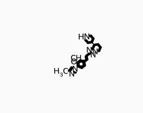 COc1cc(/C=C/c2nc3n(n2)CCC[C@@H]3C2CCNCC2)ccc1-n1cnc(C)c1